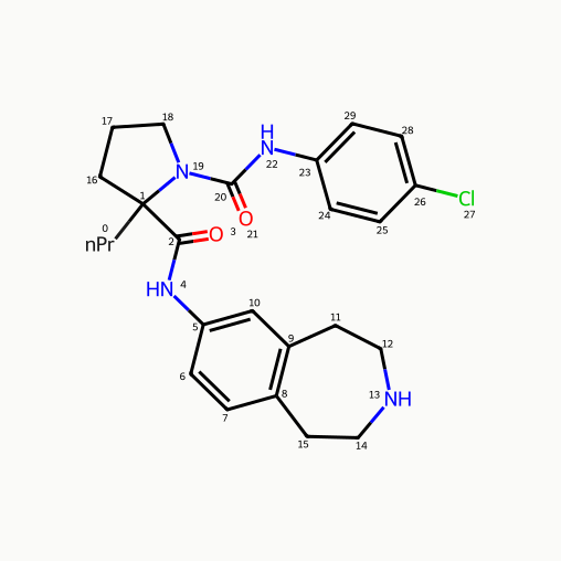 CCCC1(C(=O)Nc2ccc3c(c2)CCNCC3)CCCN1C(=O)Nc1ccc(Cl)cc1